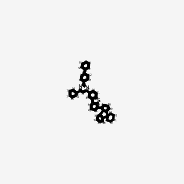 c1ccc(-c2ccc(-c3nc(-c4ccccc4)cc(-c4ccc5sc6c(-c7cccc8c7-c7ccccc7C87CCCCC7)cccc6c5c4)n3)cc2)cc1